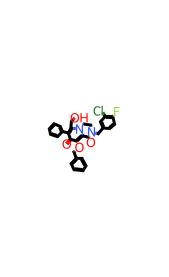 O=C1c2c(OCc3ccccc3)c(=O)c(-c3ccccc3)c(CO)n2CCN1Cc1ccc(F)c(Cl)c1